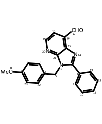 COc1ccc(Cn2c(-c3ccccc3)nc3c(C=O)ccnc32)cc1